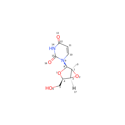 C[C@]12O[C@H]1[C@@H](CO)O[C@H]2n1ccc(=O)[nH]c1=O